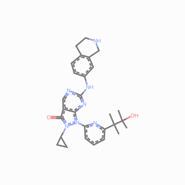 CC(C)(O)C(C)(C)c1cccc(-n2c3nc(Nc4ccc5c(c4)CNCC5)ncc3c(=O)n2C2CC2)n1